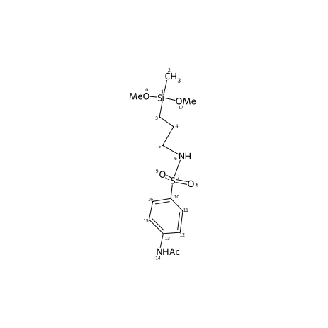 CO[Si](C)(CCCNS(=O)(=O)c1ccc(NC(C)=O)cc1)OC